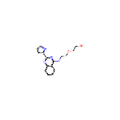 OCCOCCNc1nc(-c2ccc[nH]2)nc2ccccc12